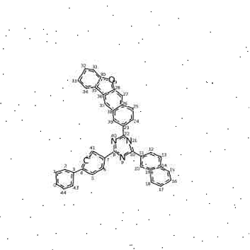 c1ccc(-c2ccc(-c3nc(-c4ccc5ccccc5c4)nc(-c4ccc5cc6oc7ccccc7c6cc5c4)n3)cc2)cc1